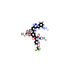 CNC(=O)c1c(-c2ccc(OCC(F)(F)F)nc2)oc2cc(N(C)S(C)(=O)=O)c(-c3ccc4ncn5c6cccc(N)c6cc5c4n3)cc12